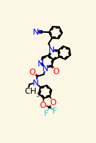 CCN(C(=O)Cn1ncc2c(c1=O)c1ccccc1n2Cc1ccccc1C#N)c1ccc2c(c1)OC(F)(F)O2